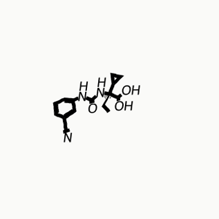 CC[C@](NC(=O)Nc1cccc(C#N)c1)(C(O)O)C1CC1